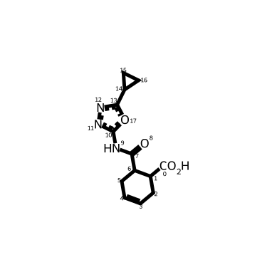 O=C(O)C1CC=CCC1C(=O)Nc1nnc(C2CC2)o1